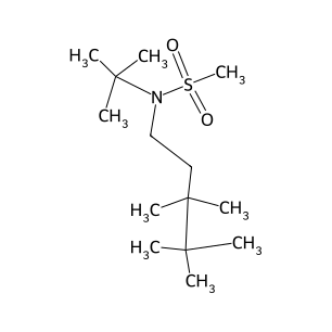 CC(C)(C)N(CCC(C)(C)C(C)(C)C)S(C)(=O)=O